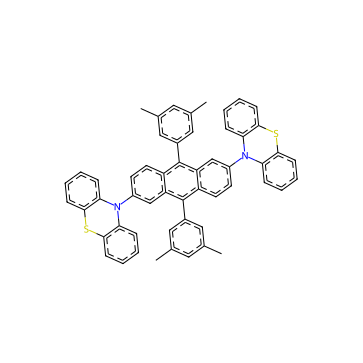 Cc1cc(C)cc(-c2c3ccc(N4c5ccccc5Sc5ccccc54)cc3c(-c3cc(C)cc(C)c3)c3ccc(N4c5ccccc5Sc5ccccc54)cc23)c1